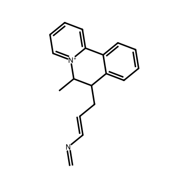 C=N/C=C/CC1c2ccccc2-c2cccc[n+]2C1C